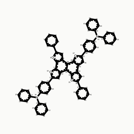 c1ccc(-c2cc3c(o2)c2oc(-c4ccc(N(c5ccccc5)c5ccccc5)cc4)cc2c2c4oc(-c5ccccc5)cc4c4cc(-c5ccc(N(c6ccccc6)c6ccccc6)cc5)oc4c32)cc1